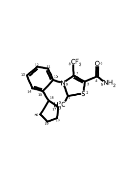 CC1SC(C(N)=O)=C(C(F)(F)F)N1c1ccccc1C1CCCC1